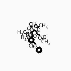 COC1(c2ccc(Cl)c(COc3ccccc3)c2)OC(COC(C)=O)C(OC(C)=O)C(OC(C)=O)C1OC(C)=O